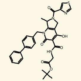 CC1c2c(c(O)c(C(=O)NCC(=O)OC(C)(C)C)c(=O)n2Cc2ccc(-c3ccccc3)cc2)CN1C(=O)c1cscn1